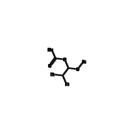 CCOC(OC(=O)C(C)CC)C(CC)CC